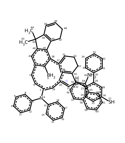 Bc1c2ccc(N(c3ccccc3)c3ccccc3)c/c(=C/Nc3ccc(S)cc3-c3ccccc3)c3c(c1c1c(c2)C(C)(C)C2=C1CCC=C2)=CCCC=3c1ccc2ccccc2c1N